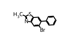 Cc1nc2cc(Br)c(-c3ccccc3)cc2s1